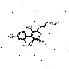 CCCCCCCCCCCCSc1nn(C)c(=O)c(-c2ccc(Cl)cc2C(F)(F)F)c1O